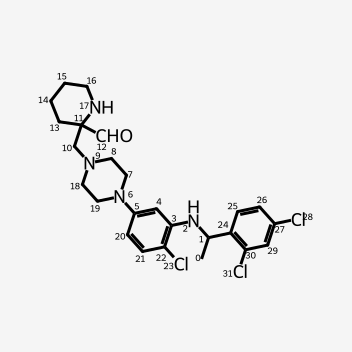 CC(Nc1cc(N2CCN(CC3(C=O)CCCCN3)CC2)ccc1Cl)c1ccc(Cl)cc1Cl